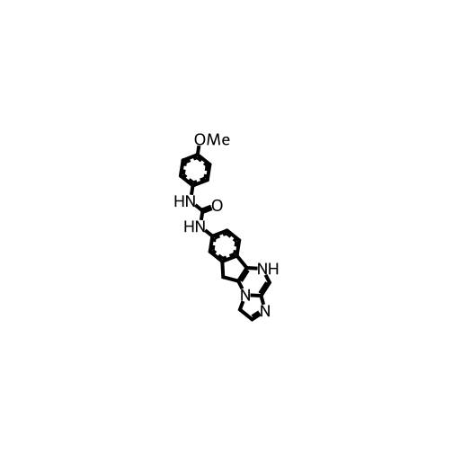 COc1ccc(NC(=O)Nc2ccc3c(c2)CC2=C3NC=C3N=CCN32)cc1